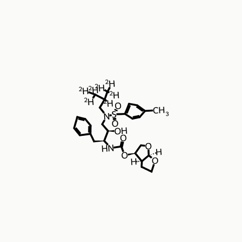 [2H]C([2H])([2H])C([2H])(CN(C[C@@H](O)[C@H](Cc1ccccc1)NC(=O)O[C@H]1CO[C@H]2OCC[C@H]21)S(=O)(=O)c1ccc(C)cc1)C([2H])([2H])[2H]